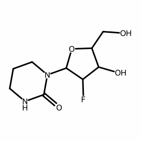 O=C1NCCCN1C1OC(CO)C(O)C1F